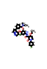 CCOc1ccn(-c2ccc(F)cc2)c(=O)c1C(=O)Nc1ccc(Oc2ccnn3ccc(-c4cccc(C(=O)N(C)C)c4)c23)c(F)c1